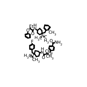 CCC(Oc1ccccc1)C(=O)NC1CCC(Cc2ccccc2C)(N(C)C)CC1.CN(C)C1(Cc2ccc(F)cc2)CCC(NC(=O)C(C)(C)Oc2ccc(C(N)=O)cc2)CC1